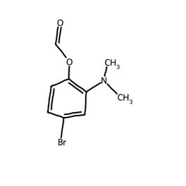 CN(C)c1cc(Br)ccc1OC=O